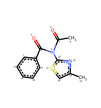 CC(=O)N(C(=O)c1ccccc1)c1nc(C)cs1